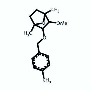 COC1C(OCc2ccc(C)cc2)C2(C)CCC1(C)O2